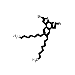 CCCCCCCCc1cc2c(cc1CCCCCCCC)c1cc(Br)sc1c1sc(Br)cc21